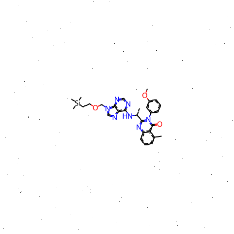 COc1cccc(-n2c(C(C)Nc3ncnc4c3ncn4COCC[Si](C)(C)C)nc3cccc(C)c3c2=O)c1